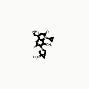 Cc1c(N2CC3CC3(N)C2)c(F)cc2c(CN)cc(=O)n(C3CC3)c12